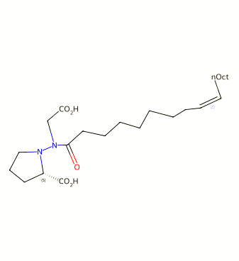 CCCCCCCC/C=C\CCCCCCCC(=O)N(CC(=O)O)N1CCC[C@H]1C(=O)O